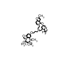 CCN1C(=O)C(C)(C)C(=O)N(C)c2cc(OCCCN(CCn3ccc4oc(C)cc4c3=O)Cc3cccnc3C(F)(F)F)ccc21